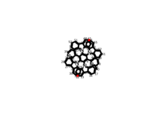 Cc1cccc(-c2c(-n3c4ccccc4c4ccccc43)c(-n3c4ccccc4c4ccccc43)c(-c3cccnc3)c(-n3c4ccccc4c4ccccc43)c2-n2c3ccccc3c3ccccc32)n1